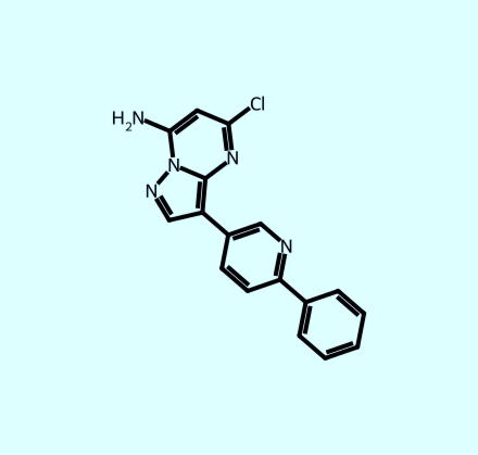 Nc1cc(Cl)nc2c(-c3ccc(-c4ccccc4)nc3)cnn12